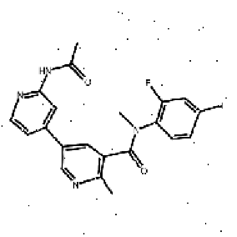 CC(=O)Nc1cc(-c2cnc(C)c(C(=O)N(C)c3ccc(F)cc3F)c2)ccn1